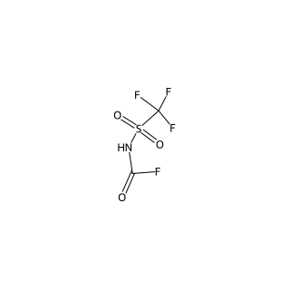 O=C(F)NS(=O)(=O)C(F)(F)F